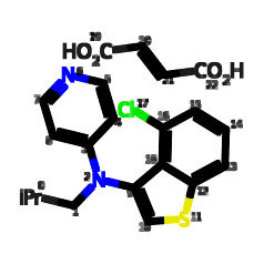 CC(C)CN(c1ccncc1)c1csc2cccc(Cl)c12.O=C(O)/C=C/C(=O)O